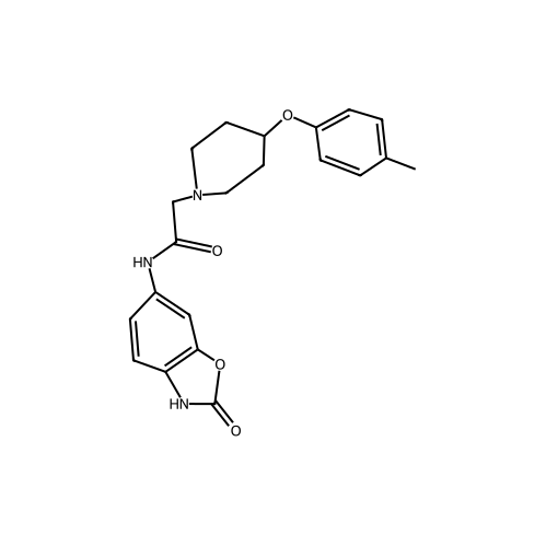 Cc1ccc(OC2CCN(CC(=O)Nc3ccc4[nH]c(=O)oc4c3)CC2)cc1